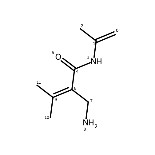 C=C(C)NC(=O)C(CN)=C(C)C